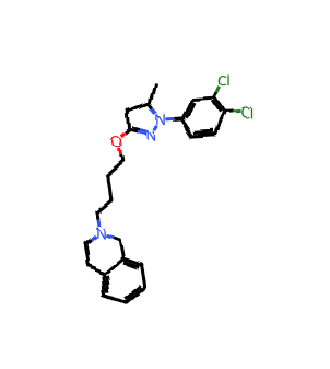 CC1CC(OCCCCN2CCc3ccccc3C2)=NN1c1ccc(Cl)c(Cl)c1